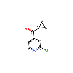 O=C(c1ccnc(Cl)c1)C1CC1